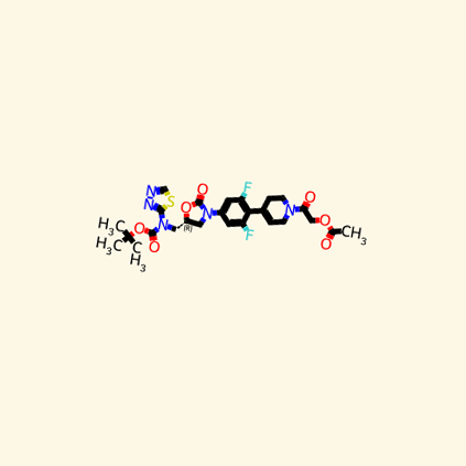 CC(=O)OCC(=O)N1CC=C(c2c(F)cc(N3C[C@H](CN(C(=O)OC(C)(C)C)c4nncs4)OC3=O)cc2F)CC1